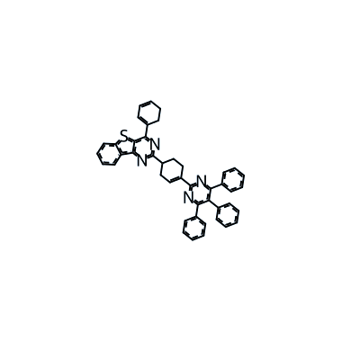 C1=CCCC(c2nc(C3CC=C(c4nc(-c5ccccc5)c(-c5ccccc5)c(-c5ccccc5)n4)CC3)nc3c2sc2ccccc23)=C1